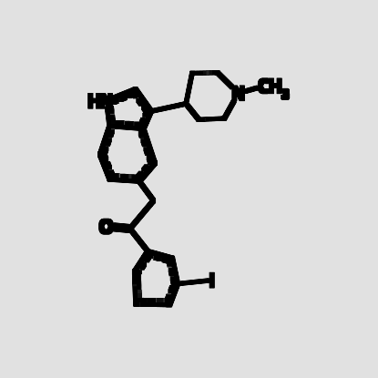 CN1CCC(c2c[nH]c3ccc(CC(=O)c4cccc(I)c4)cc23)CC1